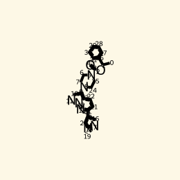 CC(OC(=O)N1CCN(c2cnn3nc(-c4cnn(C)c4)ccc23)CC1)c1ccccc1